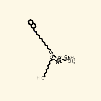 CCCCCCCCCC(=O)O[C@H](COCCCCCCCCCC/C=C/c1ccc2ccccc2c1)COP(=O)([O-])OCC[N+](C)(C)C